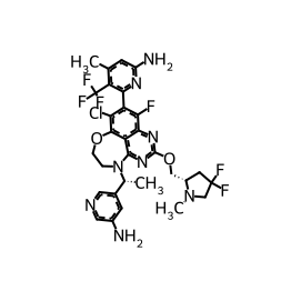 Cc1cc(N)nc(-c2c(Cl)c3c4c(nc(OC[C@@H]5CC(F)(F)CN5C)nc4c2F)N([C@H](C)c2cncc(N)c2)CCO3)c1C(F)(F)F